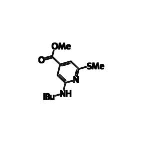 CCC(C)Nc1cc(C(=O)OC)cc(SC)n1